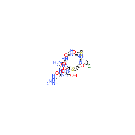 CC(C)CNC(=O)[C@@H](CCCNC(=N)N)NC(=O)[C@@H]1C[C@@H](O)CN1C(=O)[C@@H]1CSCCCC(=O)N[C@@H](Cc2ccc(Cl)cc2)C(=O)N[C@@H](Cc2cccs2)C(=O)N[C@@H](C(C)C)C(=O)N[C@@H](CC(N)=O)C(=O)N1